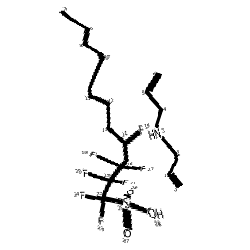 C=CCNCC=C.CCCCCCCC(F)C(F)(F)C(F)(F)C(F)(F)S(=O)(=O)O